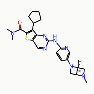 CN(C)C(=O)c1sc2cnc(Nc3ccc(N4CC5[C@H]4CN5C)cn3)nc2c1C1CCCC1